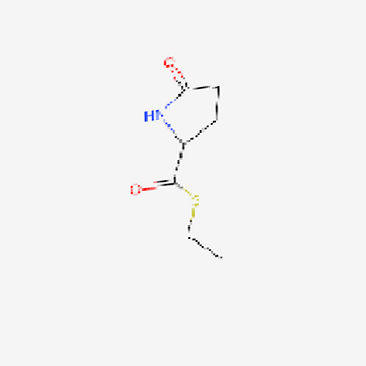 CCSC(=O)C1CCC(=O)N1